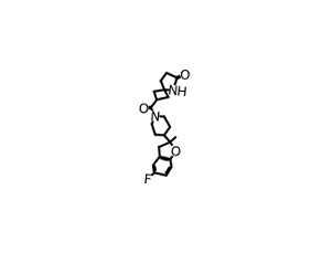 CC1(C2CCN(C(=O)C3CC4(CCC(=O)N4)C3)CC2)Cc2cc(F)ccc2O1